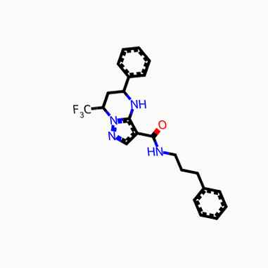 O=C(NCCCc1ccccc1)c1cnn2c1NC(c1ccccc1)CC2C(F)(F)F